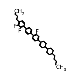 C=CCCc1ccc(-c2ccc(-c3ccc(C4=CCC(C5CCC(CCCCC)CC5)CC4)cc3F)cc2)c(F)c1F